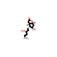 C/C=C/[C@H](O)/C=C/[C@@H]1[C@H]2CC(=O)O[C@H]2C[C@H]1O